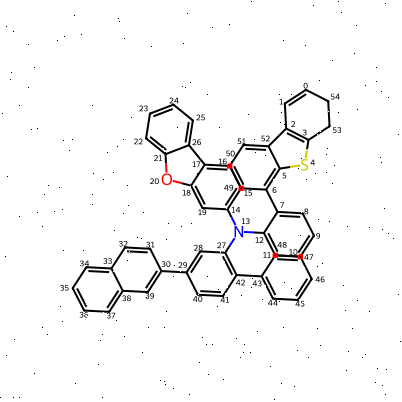 C1=Cc2c(sc3c(-c4ccccc4N(c4ccc5c(c4)oc4ccccc45)c4cc(-c5ccc6ccccc6c5)ccc4-c4ccccc4)cccc23)CC1